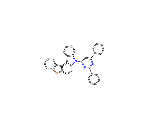 c1ccc(-c2cc(-n3c4ccccc4c4c5c(ccc43)sc3ccccc35)nc(-c3ccccc3)n2)cc1